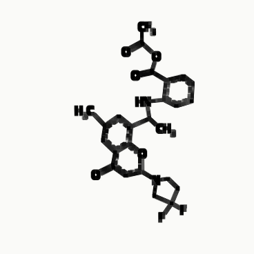 Cc1cc(C(C)Nc2ccccc2C(=O)OC(=O)C(F)(F)F)c2oc(N3CCC(F)(F)C3)cc(=O)c2c1